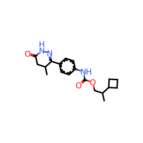 CC1CC(=O)NN=C1c1ccc(NC(=O)OCC(C)C2CCC2)cc1